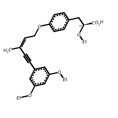 CCOc1cc(C#C/C(C)=C\COc2ccc(C[C@H](OCC)C(=O)O)cc2)cc(OCC)c1